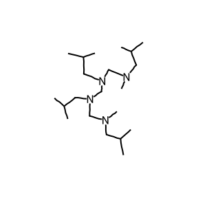 CC(C)CN(C)CN(CC(C)C)CN(CC(C)C)CN(C)CC(C)C